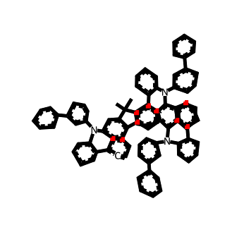 CC1(C)c2cc(N(c3cccc(-c4ccccc4)c3)c3ccccc3-c3ccccc3)ccc2-c2cc3c(N(c4cccc(-c5ccccc5)c4)c4ccccc4-c4ccccc4)c4ccccc4c(N(c4cccc(-c5ccccc5)c4)c4ccccc4-c4ccccc4)c3cc21